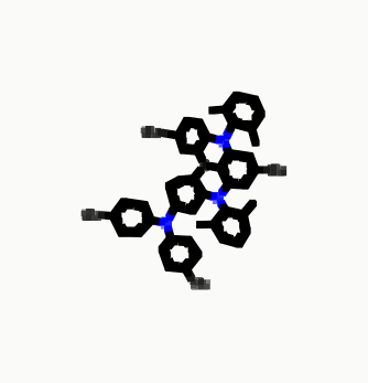 Cc1cccc(C)c1N1c2ccc(C(C)(C)C)cc2B2c3ccc(N(c4ccc(C(C)(C)C)cc4)c4ccc(C(C)(C)C)cc4)cc3N(c3c(C)cccc3C)c3cc(C(C)(C)C)cc1c32